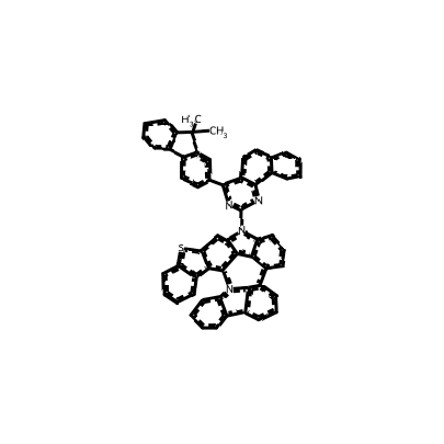 CC1(C)c2ccccc2-c2ccc(-c3nc(-n4c5cccc6c7cccc8c9ccccc9n(c78)c7c8c(cc4c7c65)sc4ccccc48)nc4c3ccc3ccccc34)cc21